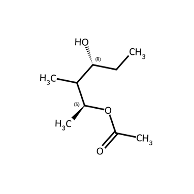 CC[C@@H](O)C(C)[C@H](C)OC(C)=O